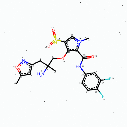 Cc1cc(CC(C)(N)COc2c([SH](=O)=O)cn(C)c2C(=O)Nc2ccc(F)c(F)c2)no1